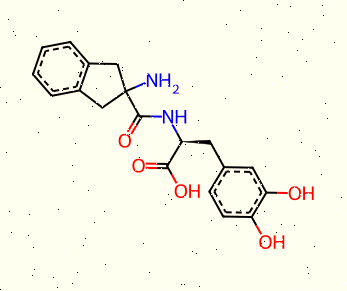 NC1(C(=O)N[C@@H](Cc2ccc(O)c(O)c2)C(=O)O)Cc2ccccc2C1